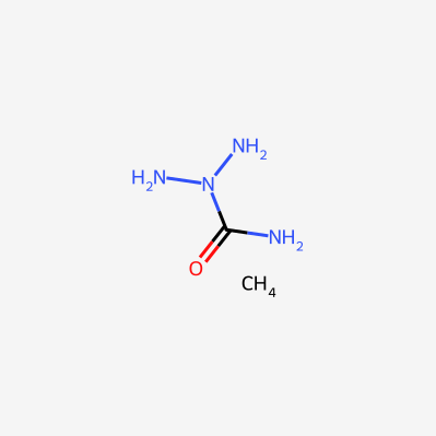 C.NC(=O)N(N)N